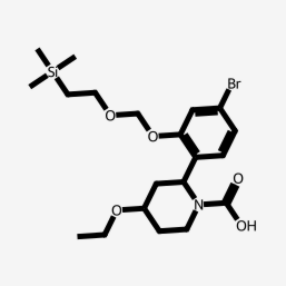 CCOC1CCN(C(=O)O)C(c2ccc(Br)cc2OCOCC[Si](C)(C)C)C1